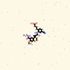 CNC(=O)c1cc2c(cc1OC)OCC[C@]21C=C1C(=O)Nc1cc(C#N)ccc1CCCC(=O)O